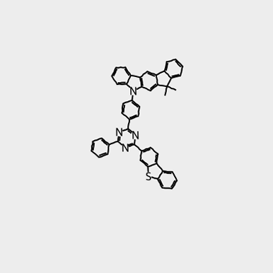 CC1(C)c2ccccc2-c2cc3c4ccccc4n(-c4ccc(-c5nc(-c6ccccc6)nc(-c6ccc7c(c6)sc6ccccc67)n5)cc4)c3cc21